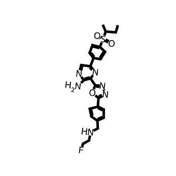 CCC(C)S(=O)(=O)c1ccc(-c2cnc(N)c(-c3nnc(-c4ccc(CNCCF)cc4)o3)n2)cc1